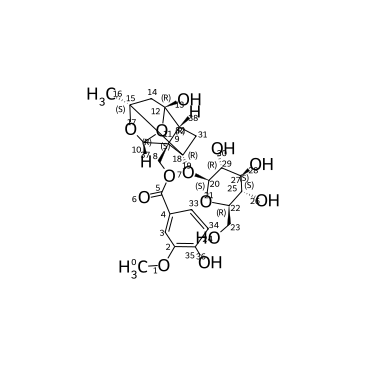 COc1cc(C(=O)OC[C@]23[C@H]4O[C@]5(O)C[C@](C)(O4)[C@@]2(O[C@@H]2O[C@H](CO)[C@@H](O)[C@H](O)[C@H]2O)C[C@H]35)ccc1O